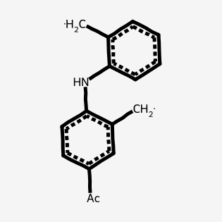 [CH2]c1ccccc1Nc1ccc(C(C)=O)cc1[CH2]